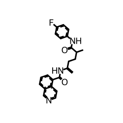 C=C(CCC(C)C(=O)Nc1ccc(F)cc1)NC(=O)c1cccc2cnccc12